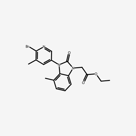 CCOC(=O)Cn1c(=O)n(-c2cnc(Br)c(C)c2)c2c(C)cccc21